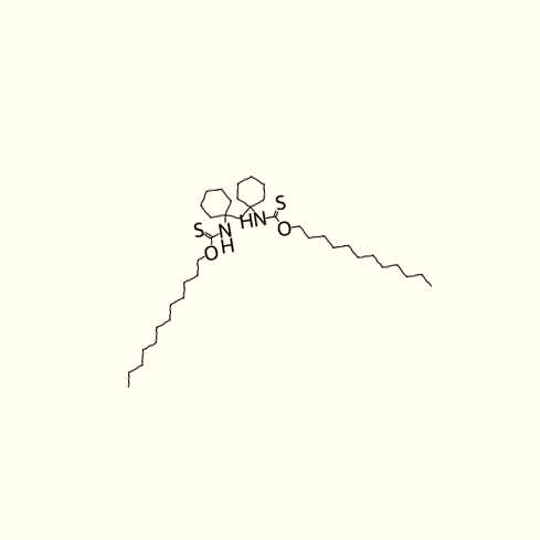 CCCCCCCCCCCCOC(=S)NC1(CC2(NC(=S)OCCCCCCCCCCCC)CCCCC2)CCCCC1